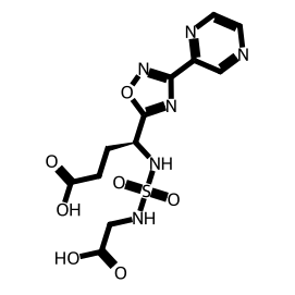 O=C(O)CC[C@H](NS(=O)(=O)NCC(=O)O)c1nc(-c2cnccn2)no1